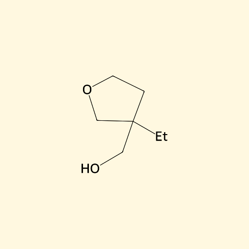 CCC1(CO)CCOC1